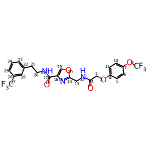 O=C(COc1ccc(OC(F)(F)F)cc1)NCc1nc(C(=O)NCCc2cccc(C(F)(F)F)c2)co1